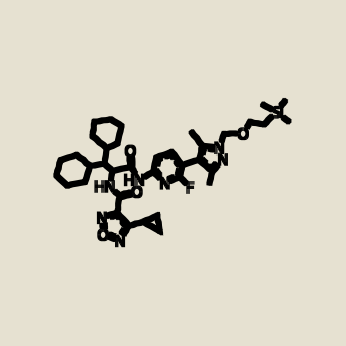 Cc1nn(COCC[Si](C)(C)C)c(C)c1-c1ccc(NC(=O)C(NC(=O)c2nonc2C2CC2)C(C2CCCCC2)C2CCCCC2)nc1F